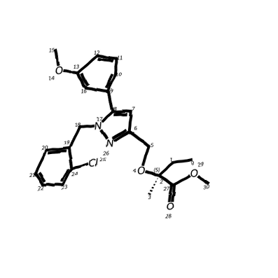 CC[C@](C)(OCc1cc(-c2cccc(OC)c2)n(Cc2ccccc2Cl)n1)C(=O)OC